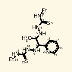 CCNC(=S)NNC(C)C(NNC(=S)NCC)c1ccccn1